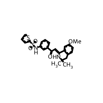 COc1ccc2c(c1)/C(=C/C(=O)c1cccc(NS(=O)(=O)c3cccs3)c1)NC(C)(C)C2